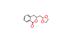 O=C1OC(CC2OCCO2)Cc2ccccc21